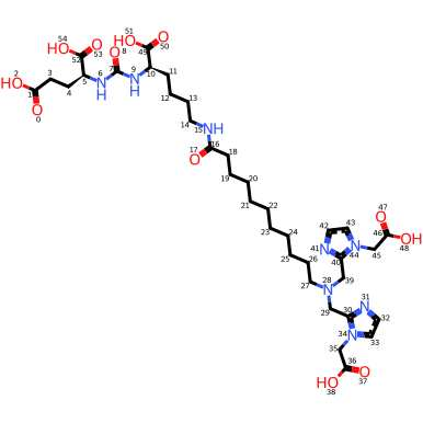 O=C(O)CC[C@H](NC(=O)N[C@H](CCCCNC(=O)CCCCCCCCCCN(Cc1nccn1CC(=O)O)Cc1nccn1CC(=O)O)C(=O)O)C(=O)O